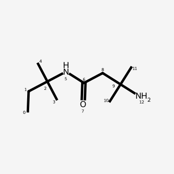 CCC(C)(C)NC(=O)CC(C)(C)N